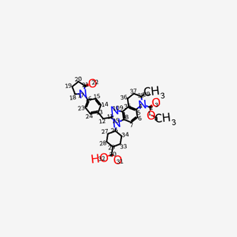 COC(=O)N1c2ccc3c(nc(Cc4ccc(N5CCCC5=O)cc4)n3C3CCC(C(=O)O)CC3)c2CCC1C